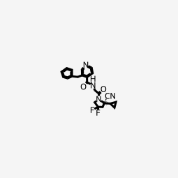 N#C[C@]1(C2CC2)CC(F)(F)CN1C(=O)CNC(=O)c1ccncc1Cc1ccccc1